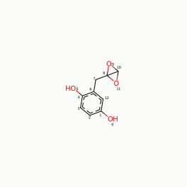 Oc1ccc(O)c(CC23OC2O3)c1